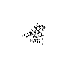 CC(C)(C)C(OC(=O)NC(CC1CCCCC1)C(=O)NC(CC1CCNC1=O)C(=O)C(N)=O)c1ccccc1